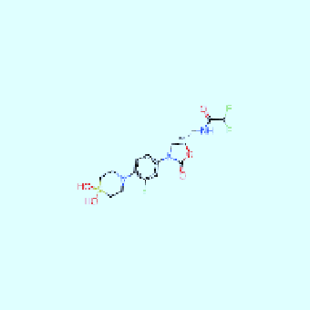 O=C(NC[C@H]1CN(c2ccc(N3CCS(O)(O)CC3)c(F)c2)C(=O)O1)C(F)F